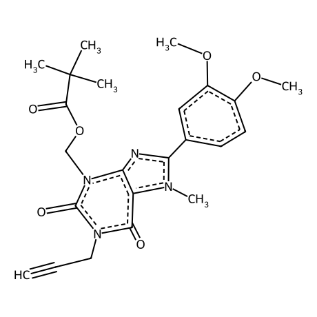 C#CCn1c(=O)c2c(nc(-c3ccc(OC)c(OC)c3)n2C)n(COC(=O)C(C)(C)C)c1=O